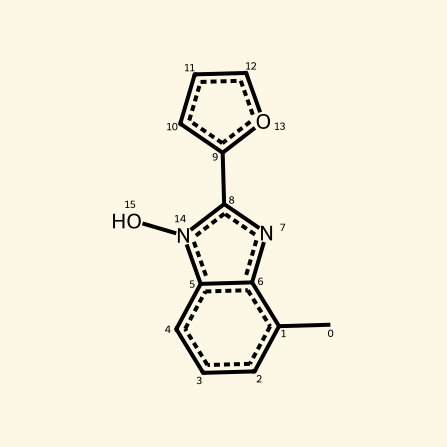 Cc1cccc2c1nc(-c1ccco1)n2O